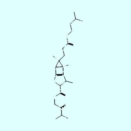 CC(C)CCNC(=O)CC[C@@]1(C)C2C3=C(C(C)C(C(=O)N[C@@H](C)C(=O)C(C)C)N3)[C@H]21